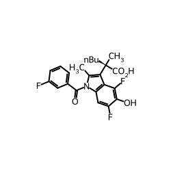 CCCC[C@@](C)(C(=O)O)c1c(C)n(C(=O)c2cccc(F)c2)c2cc(F)c(O)c(F)c12